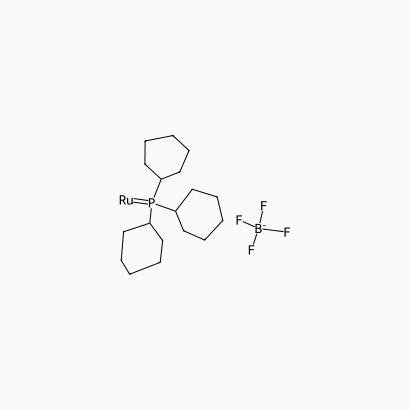 F[B-](F)(F)F.[Ru]=[P](C1CCCCC1)(C1CCCCC1)C1CCCCC1